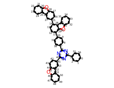 c1ccc(-c2nc(-c3ccc(-c4ccc(-c5ccc6oc7ccccc7c6c5)c5c4oc4ccccc45)cc3)nc(-c3ccc4oc5ccccc5c4c3)n2)cc1